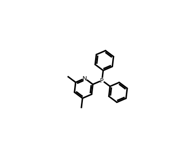 Cc1cc(C)nc(P(c2ccccc2)c2ccccc2)c1